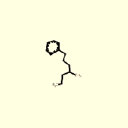 CCCC(C)CCCc1ccccc1